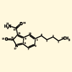 CCCCCc1ccc2c(c1)=C(C(N)=O)C(=O)N=2